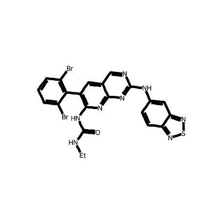 CCNC(=O)Nc1nc2nc(Nc3ccc4nsnc4c3)ncc2cc1-c1c(Br)cccc1Br